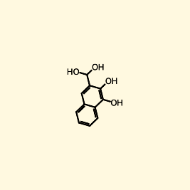 Oc1c(C(O)O)cc2ccccc2c1O